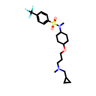 CN(CCCOC1CCC(N(C)S(=O)(=O)c2ccc(C(F)(F)F)cc2)CC1)CC1CC1